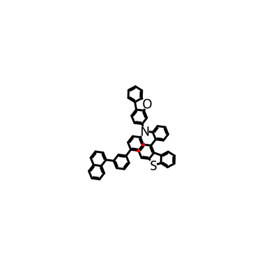 c1cc(-c2ccc(N(c3ccc4c(c3)oc3ccccc34)c3ccccc3-c3cccc4sc5ccccc5c34)cc2)cc(-c2cccc3ccccc23)c1